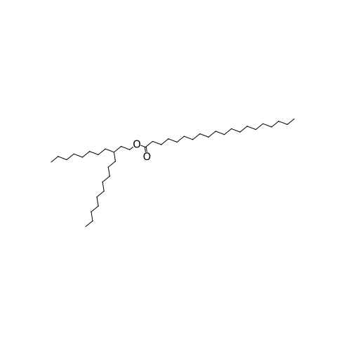 CCCCCCCCCCCCCCCCCCCC(=O)OCCC(CCCCCCCC)CCCCCCCCCC